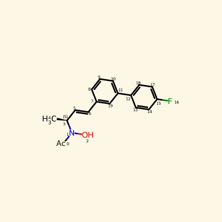 CC(=O)N(O)[C@@H](C)C=Cc1cccc(-c2ccc(F)cc2)c1